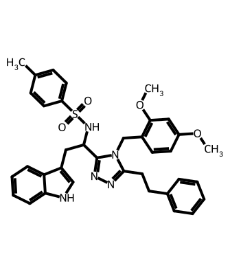 COc1ccc(Cn2c(CCc3ccccc3)nnc2C(Cc2c[nH]c3ccccc23)NS(=O)(=O)c2ccc(C)cc2)c(OC)c1